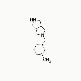 CN1CCCC(CN2CC3CNCC3C2)C1